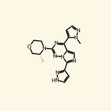 C[C@@H]1COCCN1c1nc(-c2ccnn2C)c2cnc(-c3cc[nH]n3)n2n1